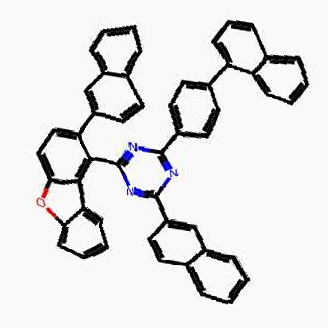 c1ccc2cc(-c3nc(-c4ccc(-c5cccc6ccccc56)cc4)nc(-c4c(-c5ccc6ccccc6c5)ccc5oc6ccccc6c45)n3)ccc2c1